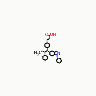 CCC(=C(c1ccc(C=CC(=O)O)cc1)c1ccc2c(cnn2-c2ccccc2)c1)c1ccccc1